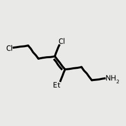 CC/C(CCN)=C(/Cl)CCCl